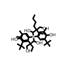 CCCCC(CC)(CO)C(O)S(c1cc(C)c(O)c(C(C)(C)C)c1)(c1cc(C)c(O)c(C(C)(C)C)c1)C(O)C(CC)(CO)CCCC